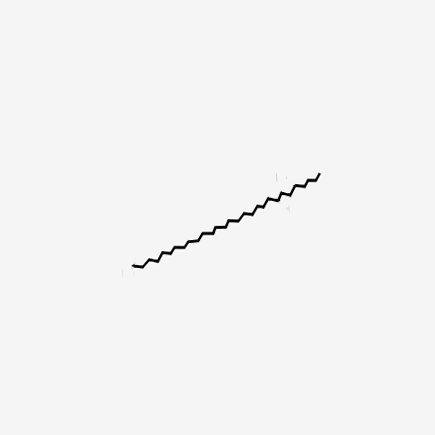 CCCCC(O)CCC(O)CCCCCCCCCCCCCCCCCCCCC(=O)O